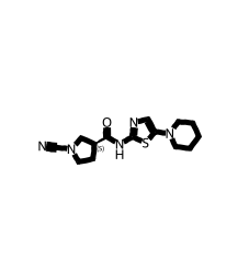 N#CN1CC[C@H](C(=O)Nc2ncc(N3CCCCC3)s2)C1